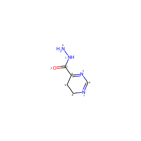 NNC(=O)C1=NC=NCC1